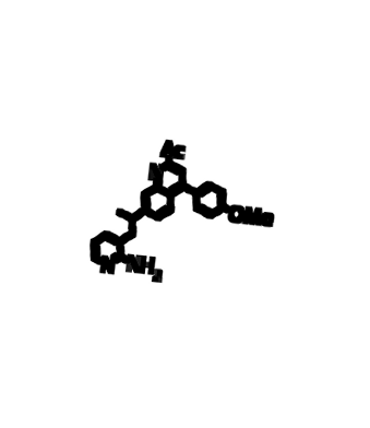 COc1ccc(-c2cc(C(C)=O)nc3cc(C(C)Cc4cccnc4N)ccc23)cc1